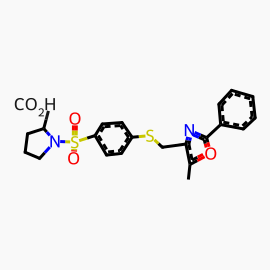 Cc1oc(-c2ccccc2)nc1CSc1ccc(S(=O)(=O)N2CCCC2C(=O)O)cc1